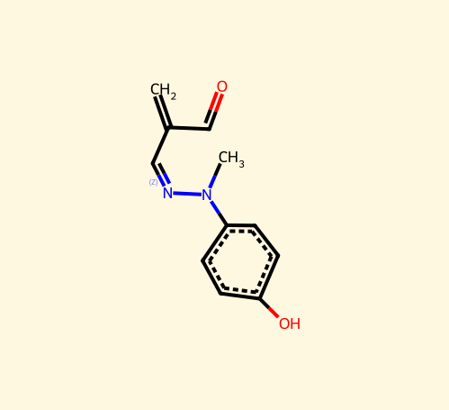 C=C(C=O)/C=N\N(C)c1ccc(O)cc1